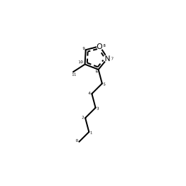 CCCCCCc1nocc1C